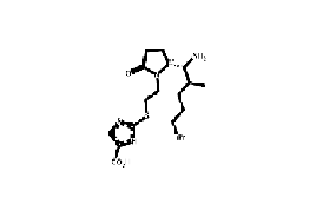 CC(C)CCCC(C)C(N)[C@H]1CCC(=O)N1CCSc1nc(C(=O)O)cs1